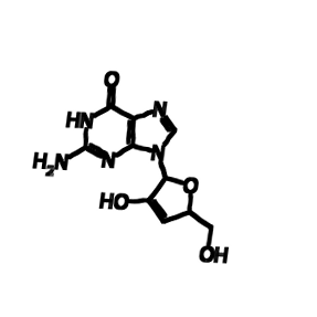 Nc1nc2c(ncn2C2OC(CO)C=C2O)c(=O)[nH]1